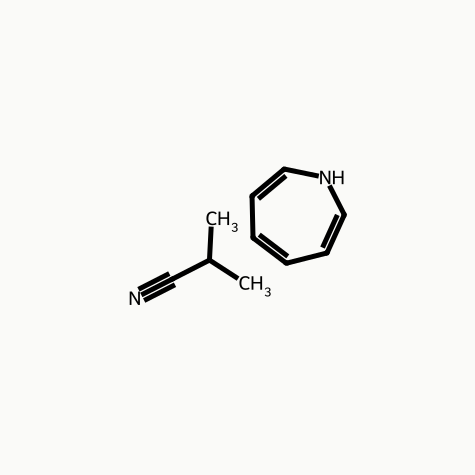 C1=CC=CNC=C1.CC(C)C#N